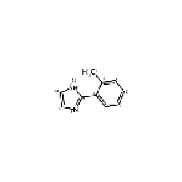 Cc1ccccc1-c1ncc[se]1